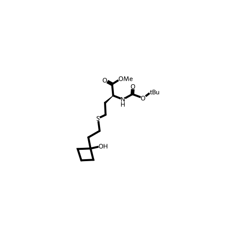 COC(=O)[C@H](CCSCCC1(O)CCC1)NC(=O)OC(C)(C)C